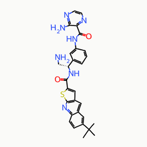 CC(C)(C)c1ccc2nc3sc(C(=O)N[C@H](CN)c4cccc(NC(=O)c5nccnc5N)c4)cc3cc2c1